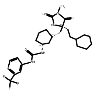 CN1C(=N)N[C@](CCC2CCCCC2)(C[C@H]2CCC[C@@H](NC(=O)Nc3ccnc(C(F)(F)F)c3)C2)C1=O